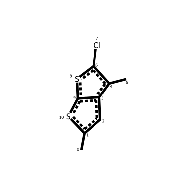 Cc1cc2c(C)c(Cl)sc2s1